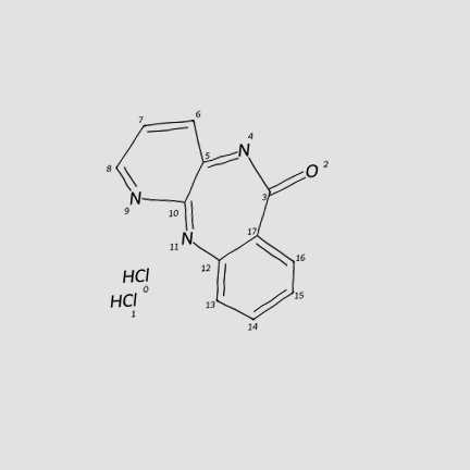 Cl.Cl.O=c1nc2cccnc2nc2ccccc12